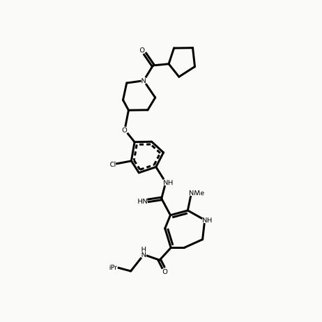 CNC1=C(C(=N)Nc2ccc(OC3CCN(C(=O)C4CCCC4)CC3)c(Cl)c2)C=C(C(=O)NCC(C)C)CCN1